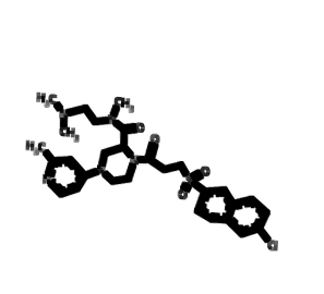 Cc1cc(N2CCN(C(=O)CCS(=O)(=O)c3ccc4cc(Cl)ccc4c3)C(C(=O)N(C)CCN(C)C)C2)ccn1